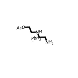 CC(=O)OCCNCCN.[PbH2]